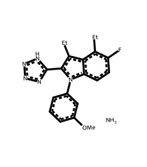 CCc1c(F)ccc2c1c(CC)c(-c1nnn[nH]1)n2-c1cccc(OC)c1.N